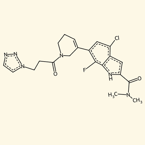 CN(C)C(=O)c1cc2c(Cl)cc(C3=CCCN(C(=O)CCn4ccnn4)C3)c(F)c2[nH]1